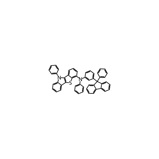 c1ccc(N(c2cccc(C3(c4ccccc4)c4ccccc4-c4ccccc43)c2)c2cccc3c2sc2c4ccccc4n(-c4ccccc4)c32)cc1